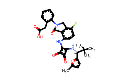 Cc1ccc([C@H](Nc2c(Nc3ccc(F)c4c3C(=O)N(c3ccccc3CC(=O)O)C4)c(=O)c2=O)C(C)(C)C)o1